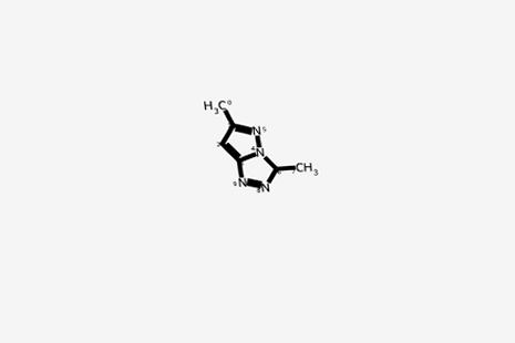 Cc1cc2n(n1)C(C)N=N2